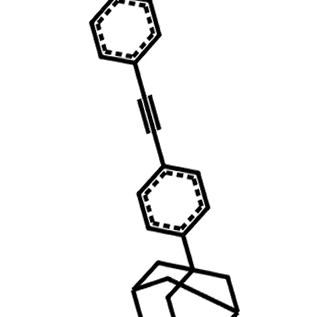 C(#Cc1ccc(C23CC4CC(CC(C4)C2)C3)cc1)c1ccccc1